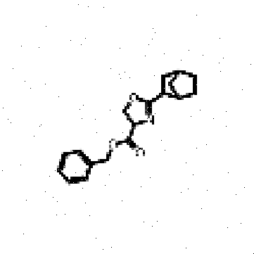 O=C(OCc1ccccc1)C1COC(C2CC3CCC2C3)=N1